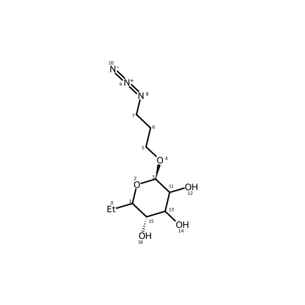 CCC1O[C@@H](OCCCN=[N+]=[N-])C(O)C(O)[C@@H]1O